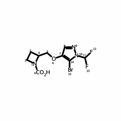 O=C(O)N1CCC1COc1cnn(C(F)F)c1Br